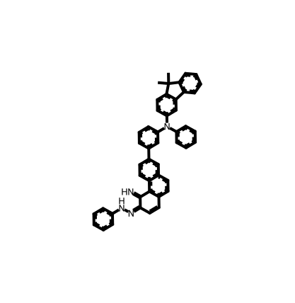 CC1(C)c2ccccc2-c2cc(N(c3ccccc3)c3cccc(-c4ccc5c6c(ccc5c4)C=C/C(=N/Nc4ccccc4)C6=N)c3)ccc21